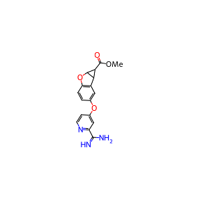 COC(=O)C1C2Oc3ccc(Oc4ccnc(C(=N)N)c4)cc3C21